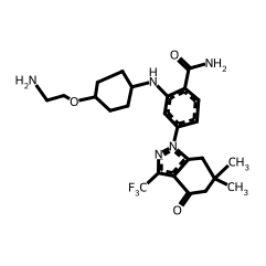 CC1(C)CC(=O)c2c(C(F)(F)F)nn(-c3ccc(C(N)=O)c(NC4CCC(OCCN)CC4)c3)c2C1